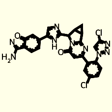 Nc1noc2cc(-c3cnc(C4C5CC5c5nc(-c6cc(Cl)ccc6-n6cc(Cl)nn6)cc(=O)n54)[nH]3)ccc12